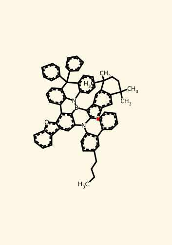 CCCCc1ccc(N2c3cc4c(oc5ccccc54)c4c3B(c3c2sc2cc5c(cc32)C(C)(C)CCC5(C)C)N2c3ccccc3C(c3ccccc3)(c3ccccc3)c3cccc-4c32)c(-c2ccccc2)c1